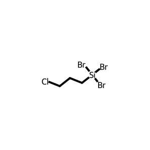 ClCCC[Si](Br)(Br)Br